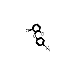 N#[N+]c1ccc(Oc2c(Cl)cccc2Cl)cc1